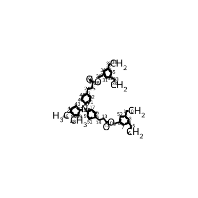 C=Cc1cc(C=C)cc(COC(=O)CCc2ccc(N(c3ccc(CCC(=O)OCc4cc(C=C)cc(C=C)c4)cc3)c3ccc(C)c(C)c3)cc2)c1